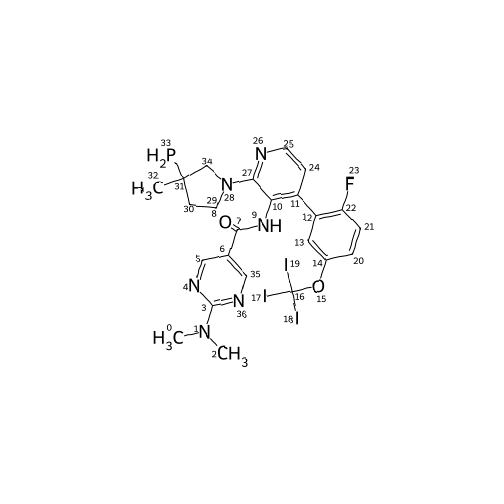 CN(C)c1ncc(C(=O)Nc2c(-c3cc(OC(I)(I)I)ccc3F)ccnc2N2CCC(C)(P)C2)cn1